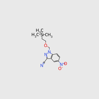 C[Si](C)(C)CCOCn1nc(C#N)c2cc([N+](=O)[O-])ccc21